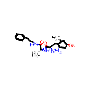 Cc1cc(O)ccc1C[C@H](N)C(=O)N[C@H](C)C(=O)NCCCc1ccccc1